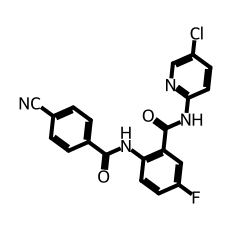 N#Cc1ccc(C(=O)Nc2ccc(F)cc2C(=O)Nc2ccc(Cl)cn2)cc1